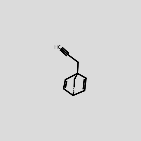 C#CCC12C=CC(C=C1)CC2